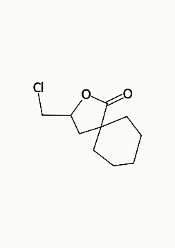 O=C1OC(CCl)CC12CCCCC2